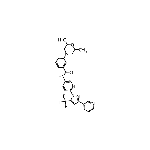 CC1CN(c2cccc(C(=O)Nc3ccc(-n4nc(-c5cccnc5)cc4C(F)(F)F)nn3)c2)CC(C)O1